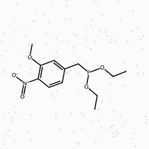 CCOP(Cc1ccc([N+](=O)[O-])c(OC)c1)OCC